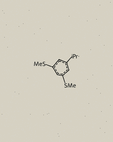 CSc1cc(SC)cc([C](C)C)c1